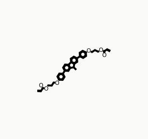 C=CC(=O)OCCCOc1ccc(-c2ccc3c(c2)C(C)c2cc(-c4ccc(OCCCOC(=O)C=C)cc4)ccc2-3)cc1